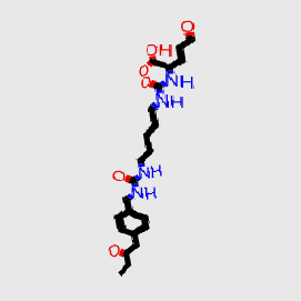 CCC(=O)Cc1ccc(CNC(=O)NCCCCCNC(=O)NC(CCC=O)C(=O)O)cc1